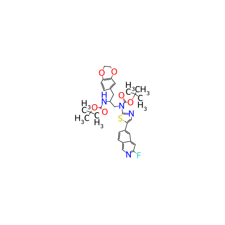 CC(C)(C)OC(=O)NC(Cc1ccc2c(c1)OCCO2)CN(C(=O)OC(C)(C)C)c1ncc(-c2ccc3cnc(F)cc3c2)s1